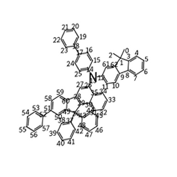 CC1(C)c2ccccc2-c2ccc(N(c3ccc(-c4ccccc4)cc3)c3cc4c(c5ccccc35)C(c3ccccc3)(c3ccccc3)c3cc(-c5ccccc5)ccc3-4)cc21